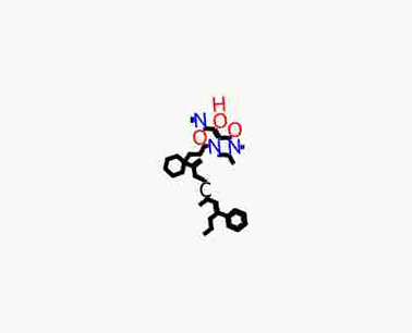 C=NC(=O)/C(O)=C1/C(=O)N(C)C(C)CN1CCCC1(C(=C)CC=C=C(C)/C=C(\CCC)c2ccccc2)CCCCC1